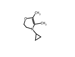 CC1=C(C)N(C2CC2)CCO1